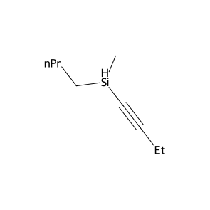 CCC#C[SiH](C)CCCC